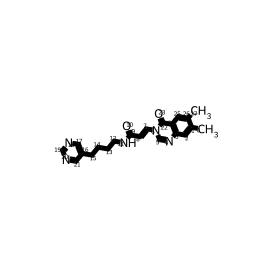 Cc1cc2ncn(C=CC(=O)NCCCCc3cncnc3)c(=O)c2cc1C